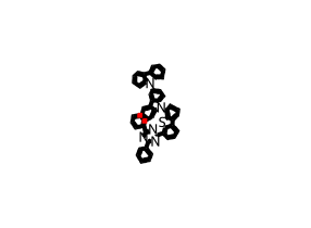 c1ccc(-c2nc(-c3ccccc3)nc(-c3cccc4c3sc3c(-n5c6ccccc6c6cc(-n7c8ccccc8c8ccccc87)ccc65)cccc34)n2)cc1